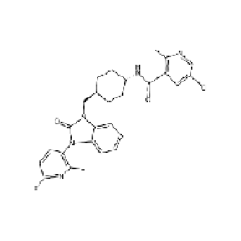 Cc1ncc(Cl)cc1C(=O)N[C@H]1CC[C@H](Cn2c(=O)n(-c3ccc(F)nc3C)c3ccccc32)CC1